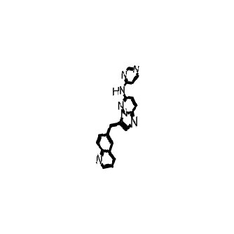 c1cnc2ccc(Cc3cnc4ccc(Nc5ccncn5)nn34)cc2c1